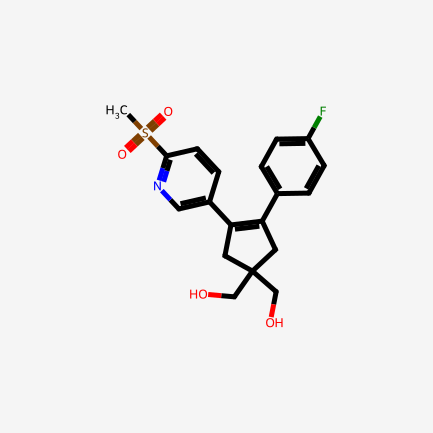 CS(=O)(=O)c1ccc(C2=C(c3ccc(F)cc3)CC(CO)(CO)C2)cn1